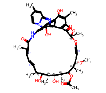 CO[C@H]1/C=C/O[C@@]2(C)Oc3c(C)c(O)c4c(O)c(c5c(nc6cc(C)ccn65)c4c3C2=O)NC(=O)/C(C)=C\C=C\[C@H](C)C(O)[C@@H](C)[C@@H](O)[C@@H](C)C(OC(C)=O)[C@@H]1C